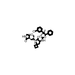 CC1(CC(NC(=O)OC(c2ccccc2)C(F)(F)c2cccc(Cl)c2)C(=O)N[C@H](CO)C[C@@H]2CCNC2=O)CCC1